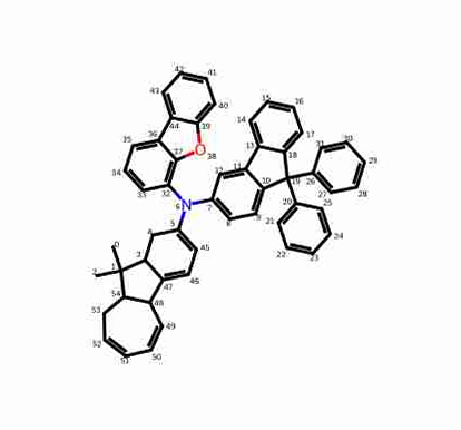 CC1(C)C2CC(N(c3ccc4c(c3)-c3ccccc3C4(c3ccccc3)c3ccccc3)c3cccc4c3oc3ccccc34)=CC=C2C2C=CC=CCC21